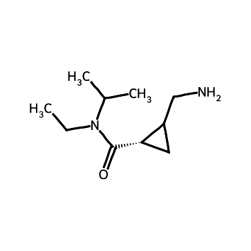 CCN(C(=O)[C@H]1CC1CN)C(C)C